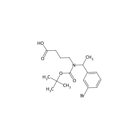 CC(c1cccc(Br)c1)N(CCCC(=O)O)C(=O)OC(C)(C)C